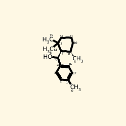 Cc1ccc(C(O)[C@@H]2[C@@H](C)CCCC2(C)C)cc1